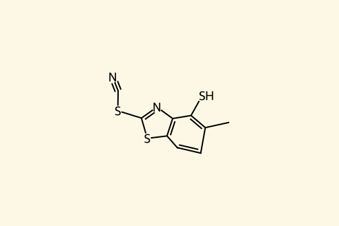 Cc1ccc2sc(SC#N)nc2c1S